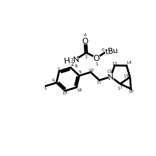 CC(C)(C)OC(N)=O.Cc1ccc(CCN2CCC3CC32)cc1